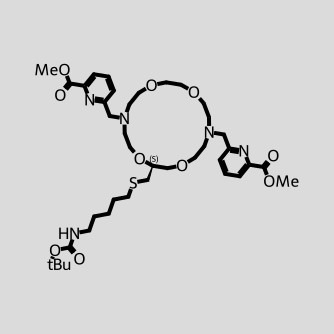 COC(=O)c1cccc(CN2CCOCCOCCN(Cc3cccc(C(=O)OC)n3)CCO[C@H](CSCCCCCNC(=O)OC(C)(C)C)COCC2)n1